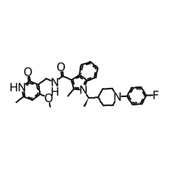 COc1cc(C)[nH]c(=O)c1CNC(=O)c1c(C)n([C@H](C)C2CCN(c3ccc(F)cc3)CC2)c2ccccc12